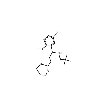 COc1ncc(F)cc1C(CCC1OCCCO1)NSC(C)(C)C